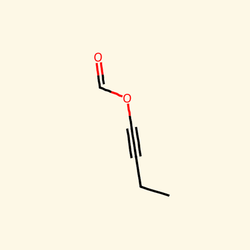 CCC#COC=O